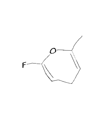 CC1=CCC=C(F)O1